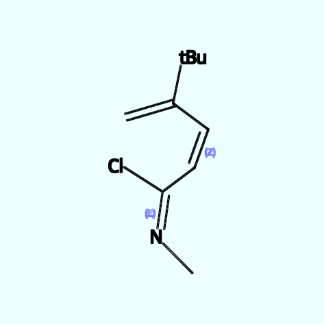 C=C(/C=C\C(Cl)=N/C)C(C)(C)C